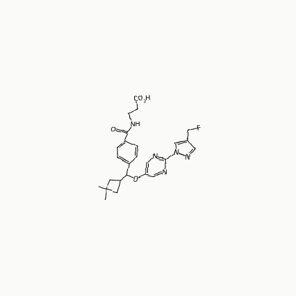 CC1(C)CC(C(Oc2cnc(-n3cc(CF)cn3)nc2)c2ccc(C(=O)NCCC(=O)O)cc2)C1